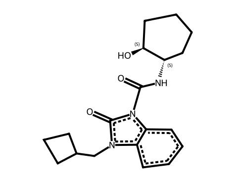 O=C(N[C@H]1CCCC[C@@H]1O)n1c(=O)n(CC2CCC2)c2ccccc21